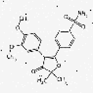 COc1ccc(C2=C(c3ccc(S(N)(=O)=O)cc3)OC(C)(C)C2=O)cc1OC